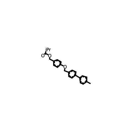 Cc1ccc(-c2ccc(COc3ccc(COC(=O)C(C)C)cc3)cc2)cc1